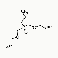 C=CCOCP(=O)(COCC=C)COC(F)(F)F